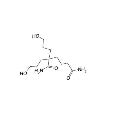 NC(=O)CCCC(CCCO)(CCCO)C(N)=O